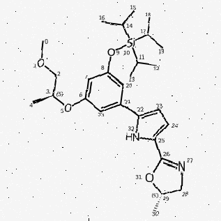 COC[C@H](C)Oc1cc(O[Si](C(C)C)(C(C)C)C(C)C)cc(-c2ccc(C3=NC[C@H](C)O3)[nH]2)c1